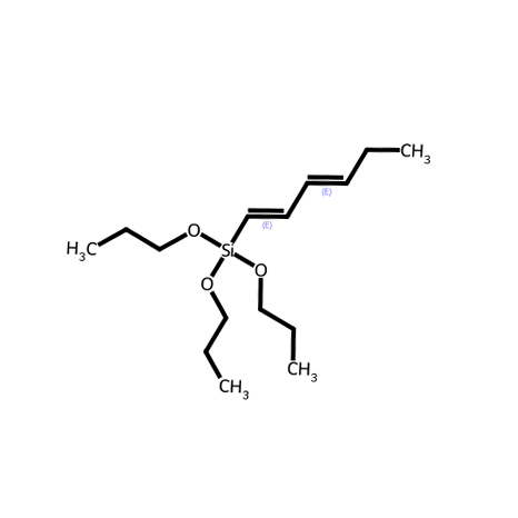 CC/C=C/C=C/[Si](OCCC)(OCCC)OCCC